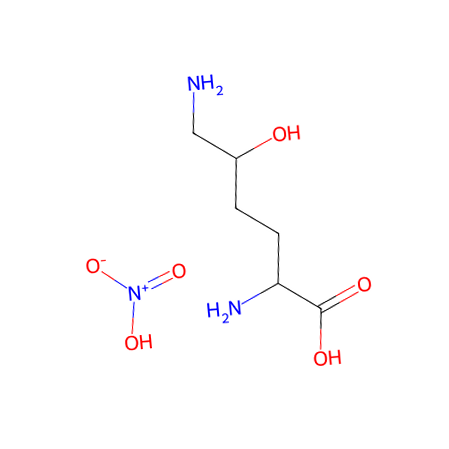 NCC(O)CCC(N)C(=O)O.O=[N+]([O-])O